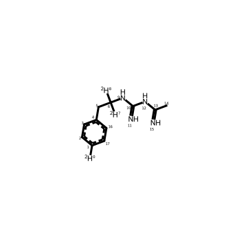 [2H]c1ccc(CC([2H])([2H])NC(=N)NC(C)=N)cc1